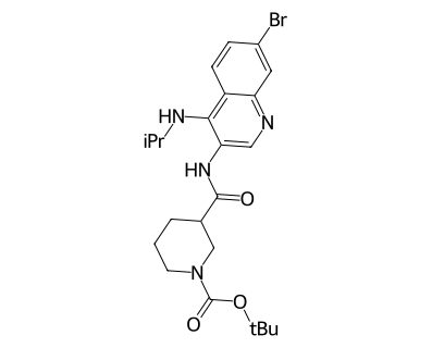 CC(C)Nc1c(NC(=O)C2CCCN(C(=O)OC(C)(C)C)C2)cnc2cc(Br)ccc12